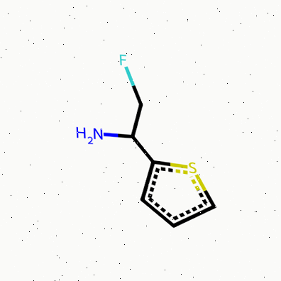 NC(CF)c1cccs1